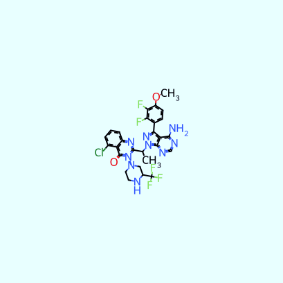 COc1ccc(-c2nn(C(C)c3nc4cccc(Cl)c4c(=O)n3N3CCNC(C(F)(F)F)C3)c3ncnc(N)c23)c(F)c1F